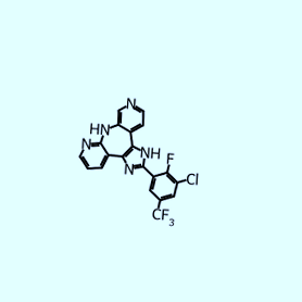 Fc1c(Cl)cc(C(F)(F)F)cc1-c1nc2c([nH]1)-c1ccncc1Nc1ncccc1-2